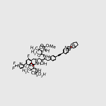 COC(=O)N[C@H](C(=O)N[C@@H](Cc1ccc(C#Cc2ccc(N3CC4CCC(C3)N4C3COC3)nc2)cc1)[C@@H](O)CN(Cc1c(F)cc(-c2ccn(C(F)F)n2)cc1F)NC(=O)[C@@H](NC(=O)O)C(C)(C)C(F)(F)F)C(C)(C)C(F)(F)F